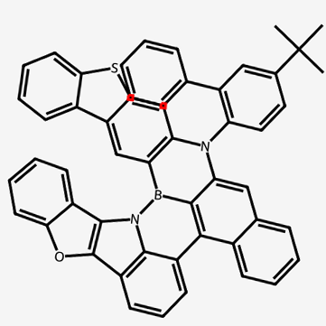 CC(C)(C)c1ccc(N2c3cc4sc5ccccc5c4cc3B3c4c2cc2ccccc2c4-c2cccc4c5oc6ccccc6c5n3c24)c(-c2ccccc2)c1